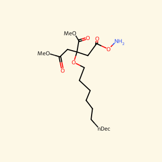 CCCCCCCCCCCCCCCCOC(CC(=O)OC)(CC(=O)ON)C(=O)OC